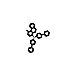 Cc1ccc(N(c2ccc(-c3ccccc3)cc2)c2ccc(-c3ccccc3)cc2)c2ccc3ccccc3c12